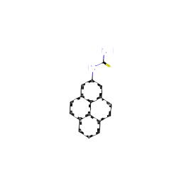 [NH]C(=S)Nc1cc2ccc3cccc4ccc(c1)c2c34